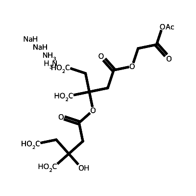 CC(=O)OC(=O)COC(=O)CC(CC(=O)O)(OC(=O)CC(O)(CC(=O)O)C(=O)O)C(=O)O.N.N.[NaH].[NaH]